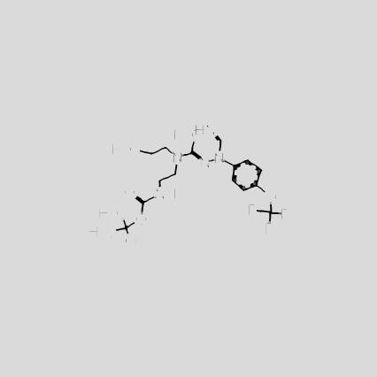 CCCN(CCNC(=O)OC(C)(C)C)/C(C)=N/N(C=N)c1ccc(OC(F)(F)F)cc1